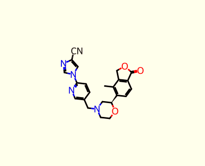 Cc1c([C@@H]2CN(Cc3ccc(-n4cnc(C#N)c4)nc3)CCO2)ccc2c1COC2=O